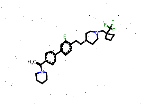 C=C(c1ccc(-c2ccc(CCC3CCN(CC4(C(F)(F)F)CCC4)CC3)c(F)c2)cc1)N1CCCCC1